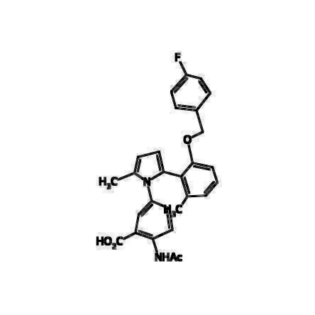 CC(=O)Nc1ccc(-n2c(C)ccc2-c2c(C)cccc2OCc2ccc(F)cc2)cc1C(=O)O